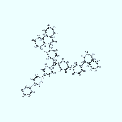 c1ccc(-c2ccc(-c3ccc(N(c4ccc(-c5cccc(-c6cccc7ccccc67)c5)cc4)c4ccc(-c5cc6ccccc6c6ccccc56)cc4)cc3)cc2)cc1